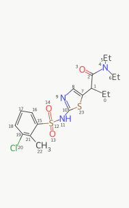 [CH2]CC(C(=O)N(CC)CC)c1cnc(NS(=O)(=O)c2cccc(Cl)c2C)s1